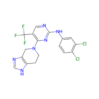 FC(F)(F)c1cnc(Nc2ccc(Cl)c(Cl)c2)nc1N1CCc2[nH]cnc2C1